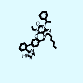 CCCCCc1nc2c(c(=O)n(CC)c(=O)n2C(C)c2ccccc2)n1Cc1ccc(-c2ccccc2-c2nnn[nH]2)cc1